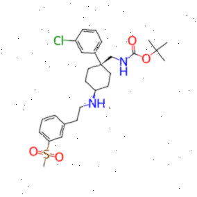 CC(C)(C)OC(=O)NC[C@]1(c2cccc(Cl)c2)CC[C@H](NCCc2cccc(S(C)(=O)=O)c2)CC1